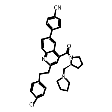 N#Cc1ccc(-c2ccc3nc(CCc4ccc(Cl)cc4)cc(C(=O)N4CCC[C@H]4CN4CCCC4)c3c2)cc1